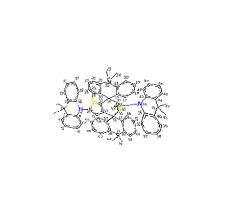 CC1(C)c2ccccc2N(c2cc3c(s2)C2(c4ccccc4[Si](C)(C)c4ccccc42)c2cc(N4c5ccccc5C(C)(C)c5ccccc54)sc2C32c3ccccc3[Si](C)(C)c3ccccc32)c2ccccc21